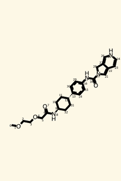 COCCOCC(=O)N[C@H]1CC[C@H](c2ccc(NC(=O)N3C=C4C=CNC=C4C3)cc2)CC1